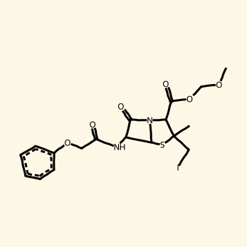 COCOC(=O)C1N2C(=O)C(NC(=O)COc3ccccc3)C2SC1(C)CI